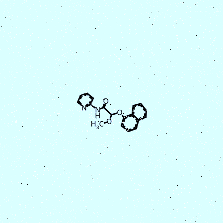 COC(Oc1cccc2ccccc12)C(=O)Nc1ccccn1